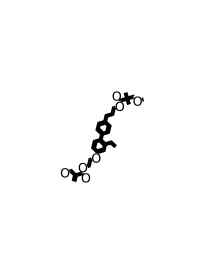 C=C(COC)C(=O)OCCOc1ccc(-c2ccc(CCCOC(=O)C(C)(C)COC)cc2)c(CC)c1